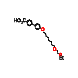 CCOCCOCCCCCCCCOc1ccc(-c2ccc(C(=O)O)cc2)cc1